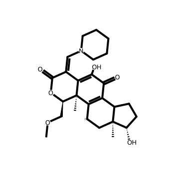 COC[C@H]1OC(=O)/C(=C/N2CCCCC2)C2=C(O)C(=O)C3=C([C]C[C@@]4(C)C3CC[C@@H]4O)[C@]21C